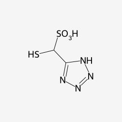 O=S(=O)(O)C(S)c1nnn[nH]1